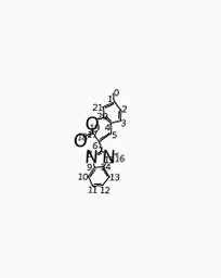 Cc1ccc2cc(-c3nc4ccccc4n3C)c(=O)oc2c1